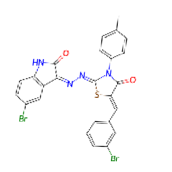 Cc1ccc(N2C(=O)C(=Cc3cccc(Br)c3)SC2=NN=C2C(=O)Nc3ccc(Br)cc32)cc1